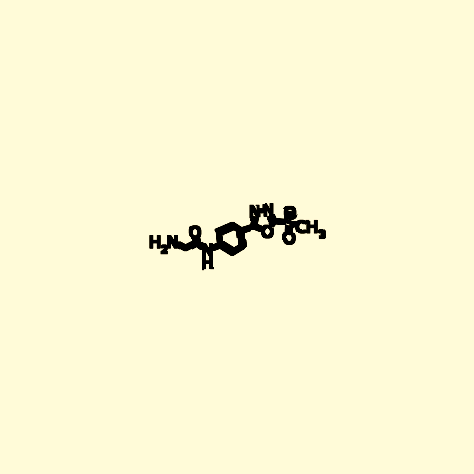 CS(=O)(=O)c1nnc(-c2ccc(NC(=O)CN)cc2)o1